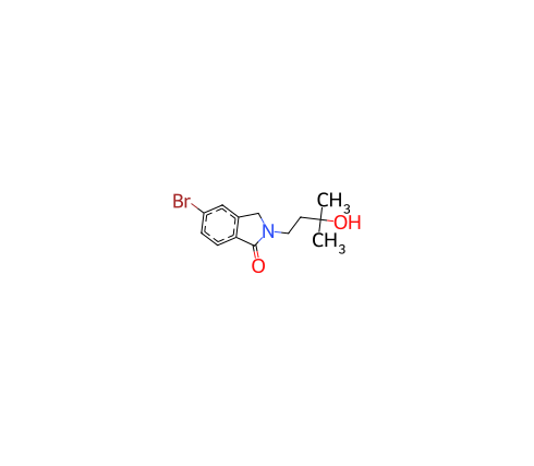 CC(C)(O)CCN1Cc2cc(Br)ccc2C1=O